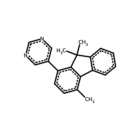 Cc1ccc(-c2cncnc2)c2c1-c1ccccc1C2(C)C